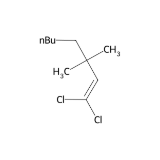 CCCCCC(C)(C)C=C(Cl)Cl